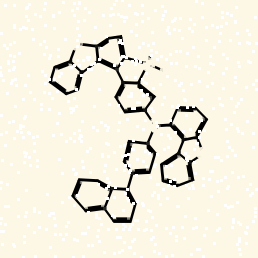 C[Si]1(C)c2cc(N(c3ccc(-c4cccc5ccccc45)cc3)c3cccc4oc5ccccc5c34)ccc2-c2c1ccc1oc3ccccc3c21